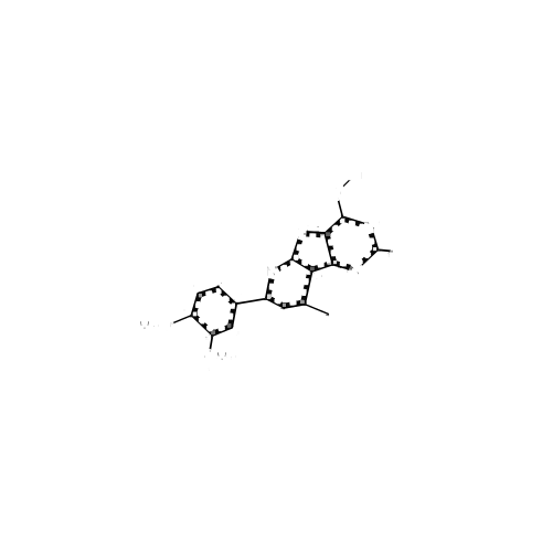 CCOc1nc(Cl)nc2c1sc1nc(-c3ccc(OC)c(OC)c3)cc(C)c12